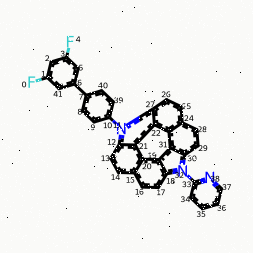 Fc1cc(F)cc(-c2ccc(-n3c4ccc5ccc6c7c5c4c4c5c(ccc43)ccc(c57)n6-c3ccccn3)cc2)c1